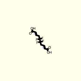 O=C(O)/C=C/CC(F)(F)C(F)(F)C/C=C/C(=O)O